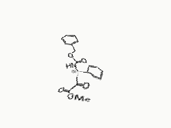 COC(=O)C(=O)C[C@H](NC(=O)OCc1ccccc1)c1ccccc1